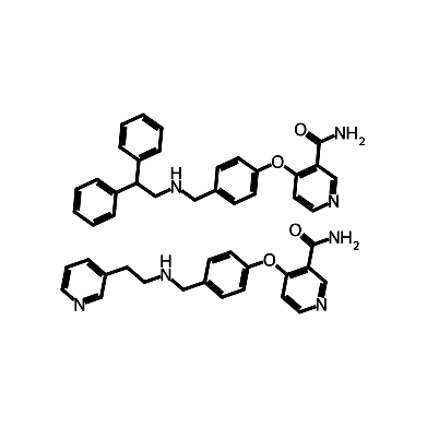 NC(=O)c1cnccc1Oc1ccc(CNCC(c2ccccc2)c2ccccc2)cc1.NC(=O)c1cnccc1Oc1ccc(CNCCc2cccnc2)cc1